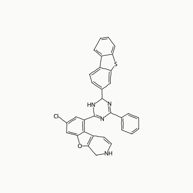 Clc1cc(C2=NC(c3ccccc3)=NC(c3ccc4c(c3)sc3ccccc34)N2)c2c3c(oc2c1)CNC=C3